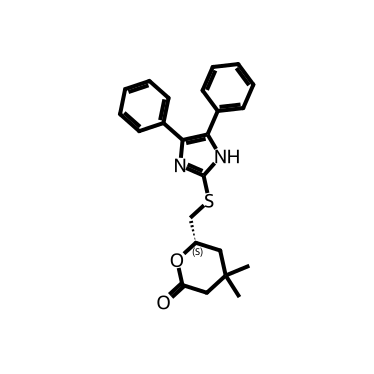 CC1(C)CC(=O)O[C@H](CSc2nc(-c3ccccc3)c(-c3ccccc3)[nH]2)C1